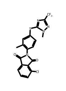 Cc1cc(Sc2nc(C(F)(F)F)nn2C)ccc1N1C(=O)c2cccc(Cl)c2C1=O